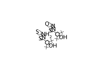 CC(C)(C)c1cc(-c2csc(C3(N)CCSCC3)n2)cc(C(C)(C)C)c1O.CN(C)C1(c2nc(-c3cc(C(C)(C)C)c(O)c(C(C)(C)C)c3)cs2)CCOCC1